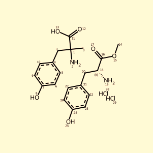 CC(N)(Cc1ccc(O)cc1)C(=O)O.COC(=O)[C@H](N)Cc1ccc(O)cc1.Cl.Cl